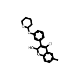 Cc1ccc2c(c1)C(Cl)=C(c1cccc(OC3CCCCO3)c1)C(O)O2